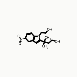 CC(C)(CCO)c1cc2c(n1CCO)C=CC([N+](=O)[O-])C2